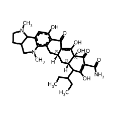 CCC(CC)C1C(O)=C(C(N)=O)C(=O)[C@@]2(O)C(O)=C3C(=O)c4c(O)cc5c(c4C[C@H]3C[C@@H]12)N(C)CC1CCN(C)C51